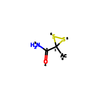 CC(=O)C1(C(N)=O)SS1